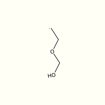 [CH2]COCO